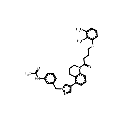 Cc1cccc(OCCCC(=O)N2CCCc3c(-c4cnn(Cc5cccc(NC(=O)C(F)(F)F)c5)c4)cccc32)c1C